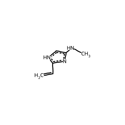 C=Cc1nc(NC)c[nH]1